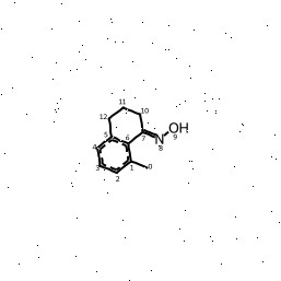 Cc1cccc2c1/C(=N/O)CCC2